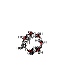 CNCC1OC2OC3CC(O)C(OC3CO)OC3C(CO)OC(OC4C(O)CC(OC4CO)OC4C(O)CC(OC4CN)OC4C(O)CC(OC4CO)OC4C(CO)OC(OC1C(O)C2O)C(O)C4O)C(O)C3O